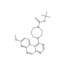 COc1ccc2c(ncc3ncnc(N4CCCN(C(=O)OC(C)(C)C)CC4)c32)n1